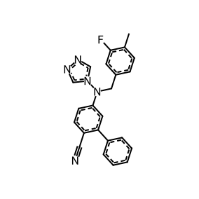 Cc1ccc(CN(c2ccc(C#N)c(-c3ccccc3)c2)n2cnnc2)cc1F